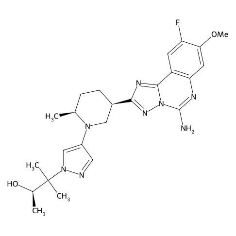 COc1cc2nc(N)n3nc([C@@H]4CC[C@H](C)N(c5cnn(C(C)(C)[C@@H](C)O)c5)C4)nc3c2cc1F